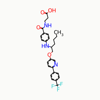 CCCCC(COc1ccc(-c2ccc(C(F)(F)F)cc2)nc1)Nc1ccc(C(=O)NCCC(=O)O)cc1